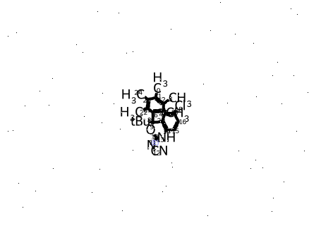 Cc1c(C)c(C)c(C2(C(C)(C)C)O/C(=N/C#N)Nc3ccc(Cl)cc32)c(C)c1C